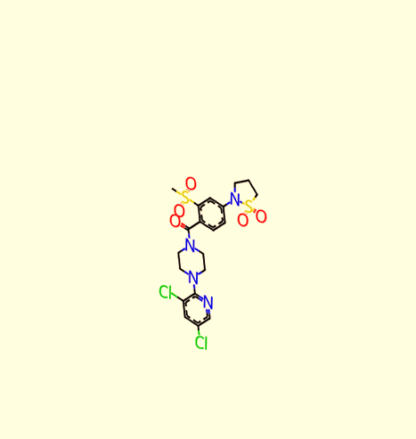 CS(=O)(=O)c1cc(N2CCCS2(=O)=O)ccc1C(=O)N1CCN(c2ncc(Cl)cc2Cl)CC1